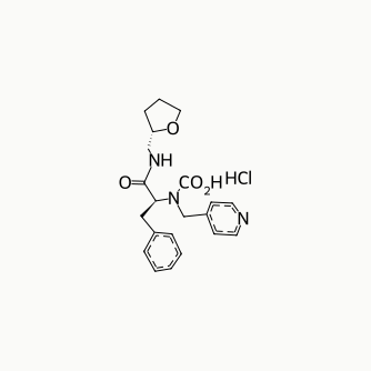 Cl.O=C(NC[C@@H]1CCCO1)[C@H](Cc1ccccc1)N(Cc1ccncc1)C(=O)O